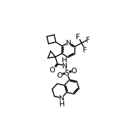 O=C(NS(=O)(=O)c1cccc2c1CCCN2)C1(c2ccc(C(F)(F)F)nc2C2CCC2)CC1